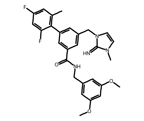 COc1cc(CNC(=O)c2cc(Cn3ccn(C)c3=N)cc(-c3c(C)cc(F)cc3F)c2)cc(OC)c1